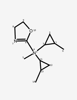 CC1CC1[N+](C)(C1=NCCO1)C1CC1C